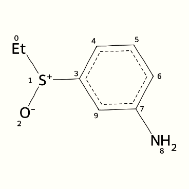 CC[S+]([O-])c1cccc(N)c1